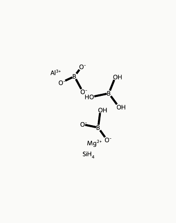 OB(O)O.[Al+3].[Mg+2].[O-]B([O-])O.[O-]B([O-])[O-].[SiH4]